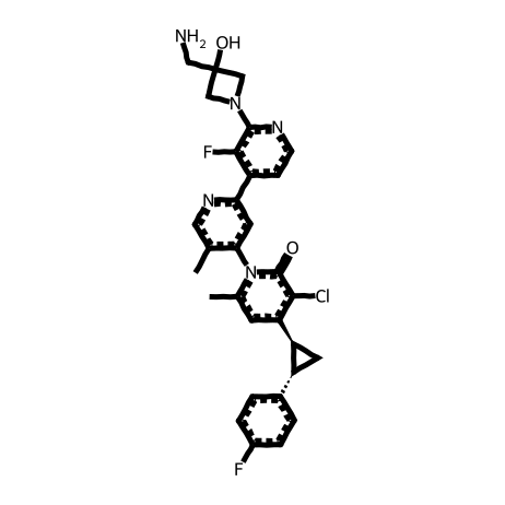 Cc1cnc(-c2ccnc(N3CC(O)(CN)C3)c2F)cc1-n1c(C)cc([C@H]2C[C@@H]2c2ccc(F)cc2)c(Cl)c1=O